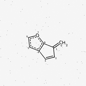 C=C1C=Cc2ccoc21